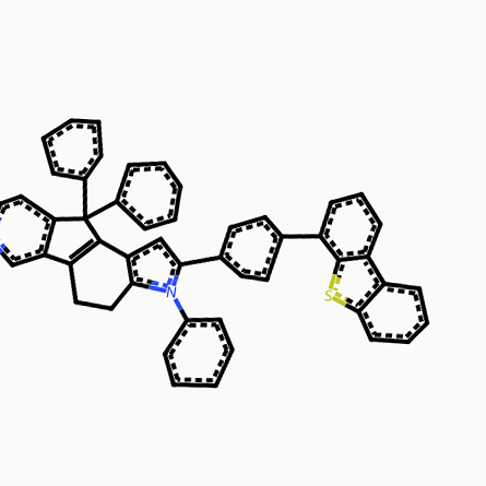 c1ccc(-n2c(-c3ccc(-c4cccc5c4sc4ccccc45)cc3)cc3c2CCC2=C3C(c3ccccc3)(c3ccccc3)c3ccncc32)cc1